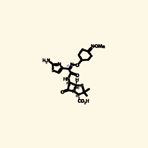 CON=C1CCC(O/N=C(\C(=O)N[C@@H]2C(=O)N3[C@@H]2SC(C)(C)[C@@H]3C(=O)O)c2csc(N)n2)CC1